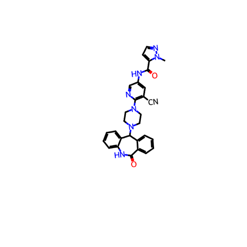 Cn1nccc1C(=O)Nc1cnc(N2CCN(C3c4ccccc4NC(=O)c4ccccc43)CC2)c(C#N)c1